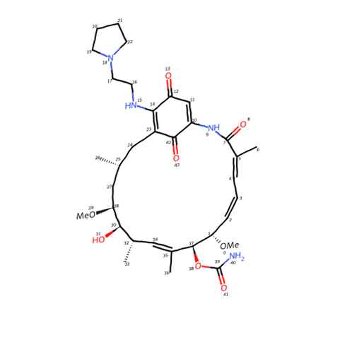 CO[C@H]1/C=C\C=C(/C)C(=O)NC2=CC(=O)C(NCCN3CCCC3)=C(C[C@@H](C)C[C@H](OC)[C@H](O)[C@@H](C)/C=C(\C)[C@@H]1OC(N)=O)C2=O